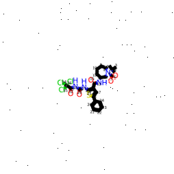 CC(C)(C)[N+]1(C(=O)[O-])CCCC[C@H](NC(=O)c2cc(-c3ccccc3)sc2NC(=O)NC(=O)C(Cl)(Cl)Cl)C1